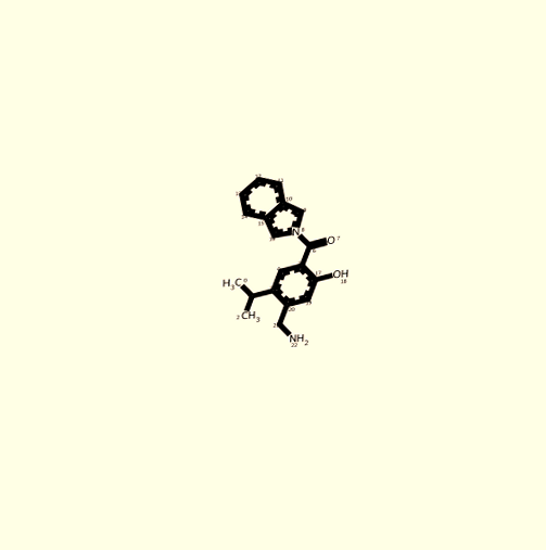 CC(C)c1cc(C(=O)n2cc3ccccc3c2)c(O)cc1CN